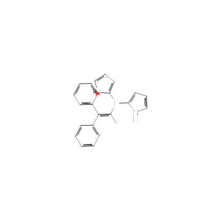 CC(=C(c1ccccc1)c1ccccc1)P(c1ccc[nH]1)c1ccc[nH]1